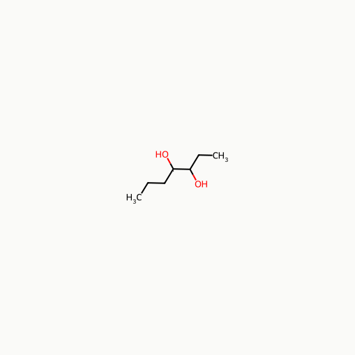 CCC[C](O)C(O)CC